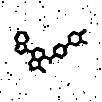 CN1C[C@@H](c2ccc(Nc3ccc(-c4cnc5cnccn45)c4c3C(=O)NC4)nc2)CCC1=O